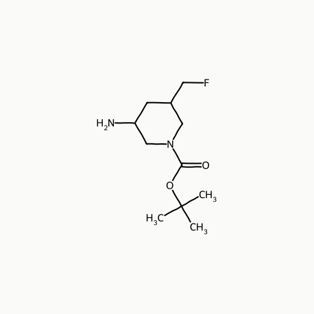 CC(C)(C)OC(=O)N1CC(N)CC(CF)C1